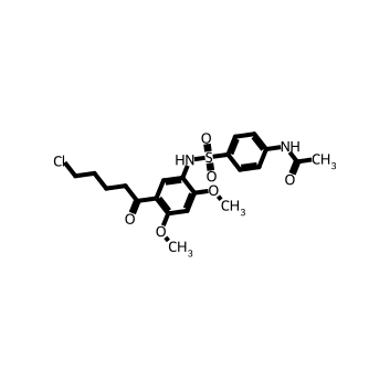 COc1cc(OC)c(C(=O)CCCCCl)cc1NS(=O)(=O)c1ccc(NC(C)=O)cc1